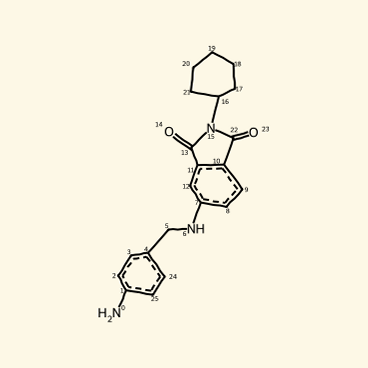 Nc1ccc(CNc2ccc3c(c2)C(=O)N(C2CCCCC2)C3=O)cc1